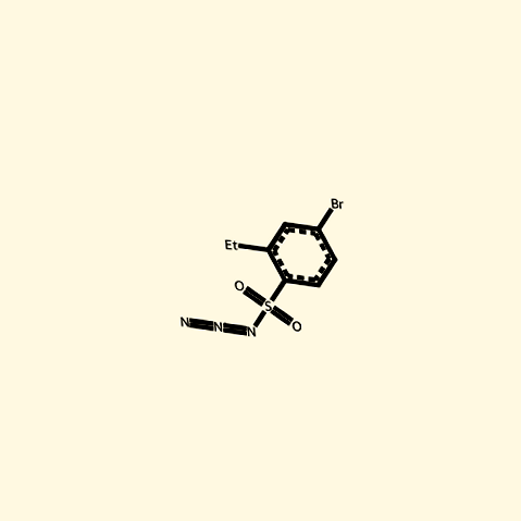 CCc1cc(Br)ccc1S(=O)(=O)N=[N+]=[N-]